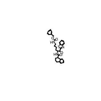 O=C(NCCCCC(NC(=O)C1CCCc2ccccc21)C(=O)c1nc2ccccc2s1)OCc1ccccc1